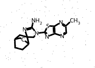 Cc1cnc2nc(N3CC4(CC5CCC4CC5)N=C3N)sc2n1